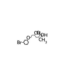 CC(CCOc1cccc(Br)c1)CC(C)C(=O)O